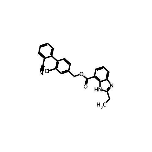 CCc1nc2cccc(C(=O)OCc3ccc(-c4ccccc4C#N)c(Cl)c3)c2[nH]1